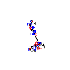 Cc1ncsc1-c1ccc(CNC(=O)[C@@H]2C[C@@H](O)CN2C(=O)[C@@H](NC(=O)CCCCCCCCC(=O)NCCn2ncc3cc(C(=O)Nc4ccc5[nH]c(CN6CCC[C@@H]6C)nc5c4)ccc32)C(C)(C)C)cc1